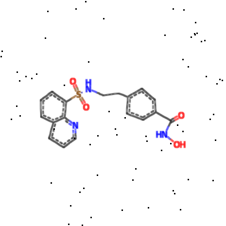 O=C(NO)c1ccc(CCNS(=O)(=O)c2cccc3cccnc23)cc1